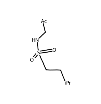 CC(=O)CNS(=O)(=O)CCC(C)C